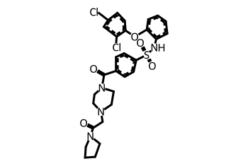 O=C(CN1CCN(C(=O)c2ccc(S(=O)(=O)Nc3ccccc3Oc3ccc(Cl)cc3Cl)cc2)CC1)N1CCCC1